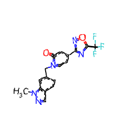 Cn1ncc2ccc(Cn3ccc(-c4noc(C(F)(F)F)n4)cc3=O)cc21